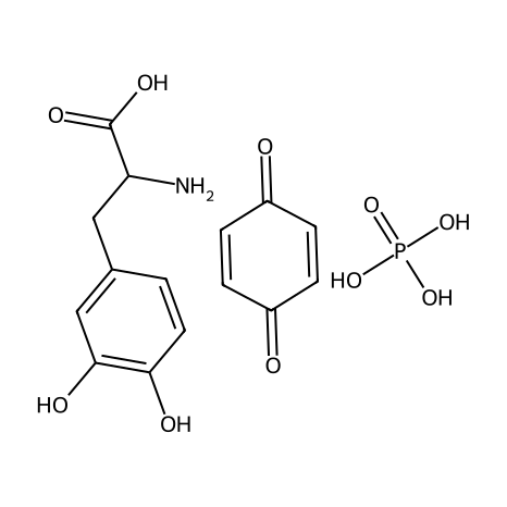 NC(Cc1ccc(O)c(O)c1)C(=O)O.O=C1C=CC(=O)C=C1.O=P(O)(O)O